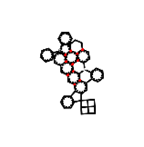 c1ccc(-n2c3ccccc3c3ccc(-c4ccccc4N(c4ccccc4-c4ccc5c(c4)C4(c6ccccc6-5)C5CC6CC7CC4C675)c4ccccc4-c4cccc5cccc(C6CCCCC6)c45)cc32)cc1